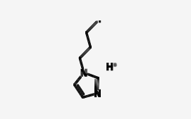 [CH2]CCCn1ccnc1.[H+]